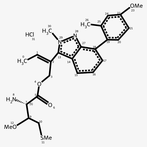 CC=C(COC(=O)[C@@H](N)C(CSC)OC)c1c2cccc(-c3ccc(OC)cc3C)c2nn1C.Cl